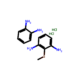 CSc1c(N)cccc1N.Cl.Cl.Nc1ccccc1N